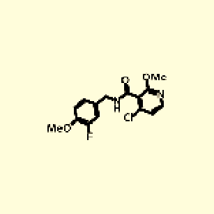 COc1ccc(CNC(=O)c2c(Cl)ccnc2OC)cc1F